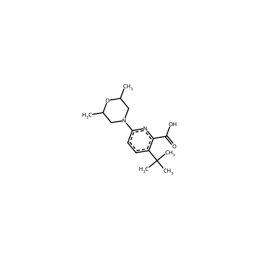 CC1CN(c2ccc(C(C)(C)C)c(C(=O)O)n2)CC(C)O1